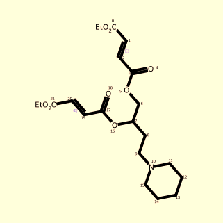 CCOC(=O)/C=C/C(=O)OCC(CCN1CCCCC1)OC(=O)/C=C/C(=O)OCC